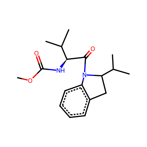 COC(=O)N[C@H](C(=O)N1c2ccccc2CC1C(C)C)C(C)C